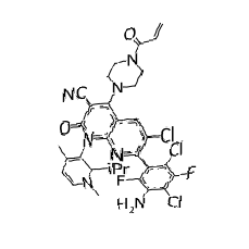 C=CC(=O)N1CCN(c2c(C#N)c(=O)n(C3=C(C)C=CN(C)C3C(C)C)c3nc(-c4c(F)c(N)c(Cl)c(F)c4Cl)c(Cl)cc23)CC1